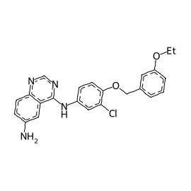 CCOc1cccc(COc2ccc(Nc3ncnc4ccc(N)cc34)cc2Cl)c1